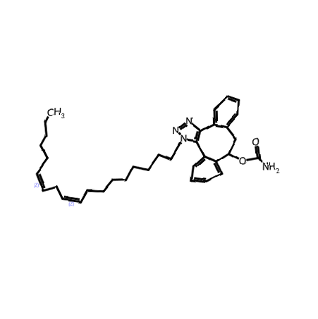 CCCCC/C=C\C/C=C\CCCCCCCCn1nnc2c1-c1ccccc1C(OC(N)=O)Cc1ccccc1-2